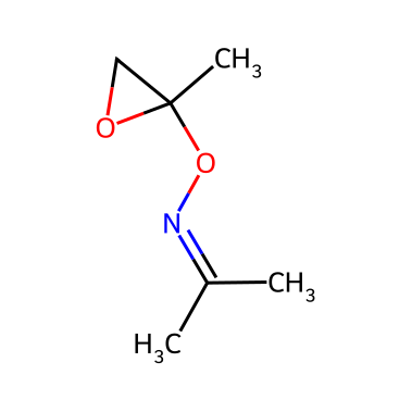 CC(C)=NOC1(C)CO1